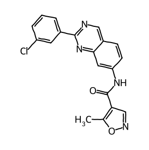 Cc1oncc1C(=O)Nc1ccc2cnc(-c3cccc(Cl)c3)nc2c1